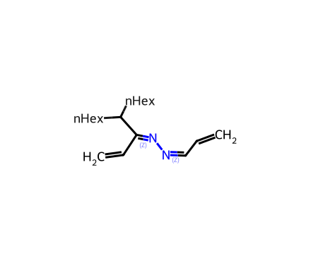 C=C/C=N\N=C(/C=C)C(CCCCCC)CCCCCC